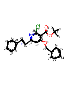 CC(C)(C)OC(=O)c1c(OCc2ccccc2)cc(/C=C/c2ccccc2)nc1Cl